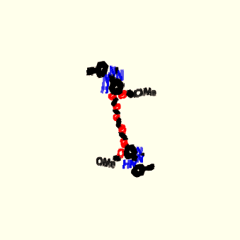 C#Cc1cccc(Nc2ncnc3cc(OCCOCCOCCOCCOc4cc5c(Nc6cccc(C#C)c6)ncnc5cc4OCCOC)c(OCCOC)cc23)c1